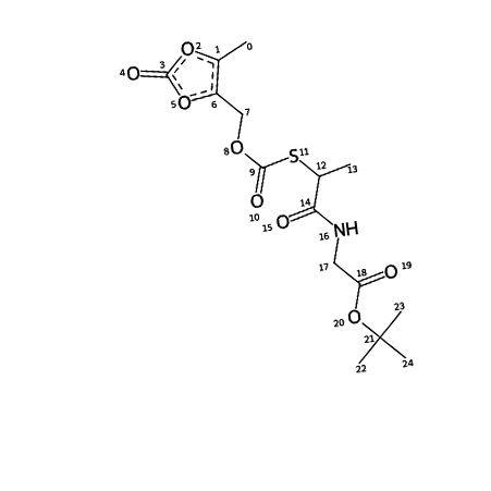 Cc1oc(=O)oc1COC(=O)SC(C)C(=O)NCC(=O)OC(C)(C)C